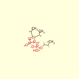 CCCOP(=O)(O)OP(=O)(OCCC)OCCC